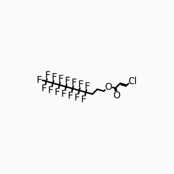 O=C(/C=C/Cl)OCCCC(F)(F)C(F)(F)C(F)(F)C(F)(F)C(F)(F)C(F)(F)C(F)(F)F